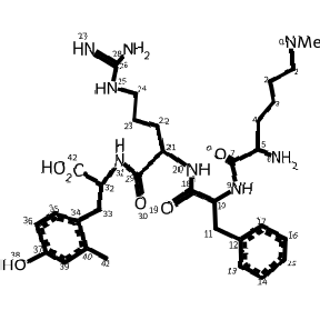 CNCCCCC(N)C(=O)NC(Cc1ccccc1)C(=O)NC(CCCNC(=N)N)C(=O)NC(Cc1ccc(O)cc1C)C(=O)O